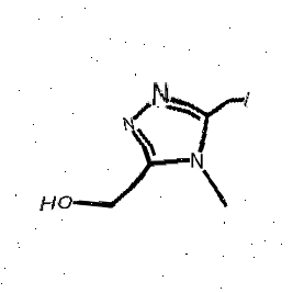 Cn1c(I)nnc1CO